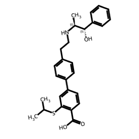 CC(C)Sc1cc(-c2ccc(CCN[C@@H](C)[C@@H](O)c3ccccc3)cc2)ccc1C(=O)O